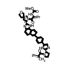 COC(=O)N[C@H](C(=O)N1C[C@@]2(CCOC2)C[C@H]1c1nc2ccc3cc(-c4ccc(-c5cnc([C@@H]6CCCN6C(=O)[C@@H](C)C(C)C)[nH]5)cc4)ccc3c2[nH]1)C(C)C